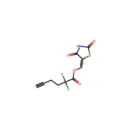 C#CCCC(F)(F)C(=O)O/C=C1/SC(=O)NC1=O